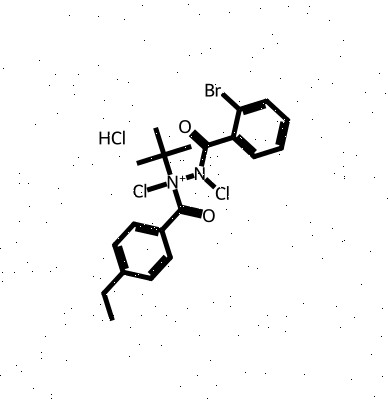 CCc1ccc(C(=O)[N+](Cl)(N(Cl)C(=O)c2ccccc2Br)C(C)(C)C)cc1.Cl